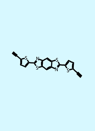 C#Cc1ccc(-c2nc3cc4sc(-c5ccc(C#C)s5)nc4cc3s2)s1